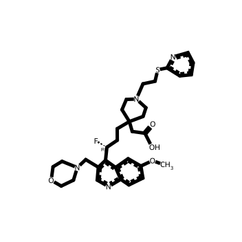 COc1ccc2ncc(CN3CCOCC3)c([C@H](F)CCC3(CC(=O)O)CCN(CCSc4ccccn4)CC3)c2c1